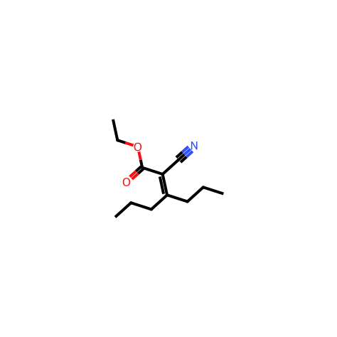 CCCC(CCC)=C(C#N)C(=O)OCC